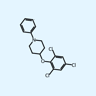 Clc1cc(Cl)c(OC2CCN(c3c[c]ccc3)CC2)c(Cl)c1